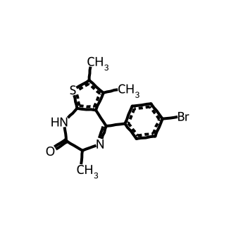 Cc1sc2c(c1C)C(c1ccc(Br)cc1)=NC(C)C(=O)N2